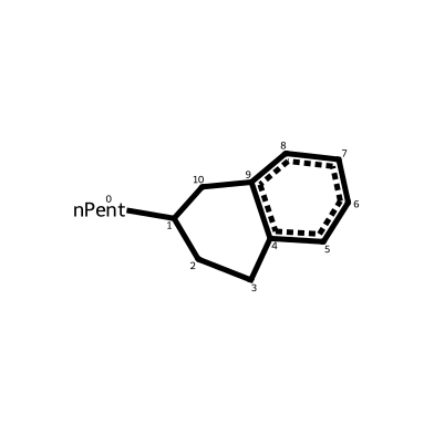 CCCCCC1CCc2ccccc2C1